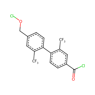 O=C(Cl)c1ccc(-c2ccc(COCl)cc2C(F)(F)F)c(C(F)(F)F)c1